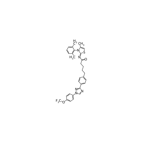 Cc1cccc(C)c1-n1c(C)cs/c1=N\C(=O)CCCCc1ccc(-c2ncn(-c3ccc(OC(F)(F)F)cc3)n2)cc1